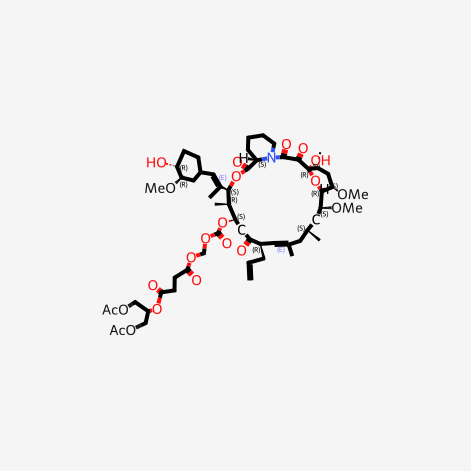 C=CC[C@@H]1/C=C(\C)C[C@H](C)C[C@H](OC)[C@H]2O[C@@](O)(C(=O)C(=O)N3CCCC[C@H]3C(=O)O[C@H](/C(C)=C/C3CC[C@@H](O)[C@H](OC)C3)[C@H](C)[C@@H](OC(=O)OCOC(=O)CCC(=O)OC(COC(C)=O)COC(C)=O)CC1=O)[C@H](C)C[C@@H]2OC